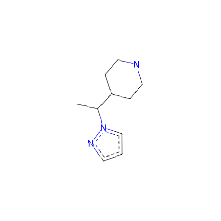 CC(C1CC[N]CC1)n1cccn1